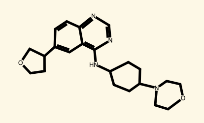 c1nc(NC2CCC(N3CCOCC3)CC2)c2cc(C3CCOC3)ccc2n1